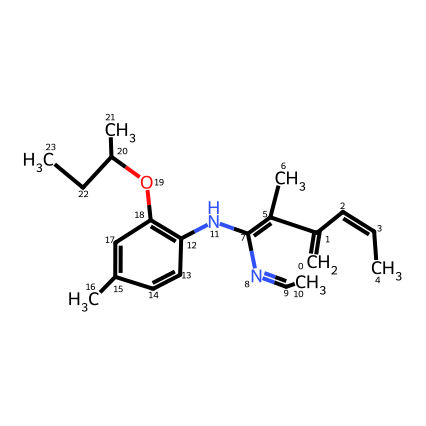 C=C(/C=C\C)/C(C)=C(\N=C/C)Nc1ccc(C)cc1OC(C)CC